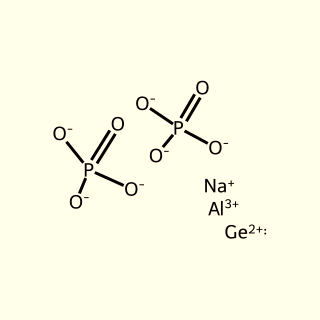 O=P([O-])([O-])[O-].O=P([O-])([O-])[O-].[Al+3].[Ge+2].[Na+]